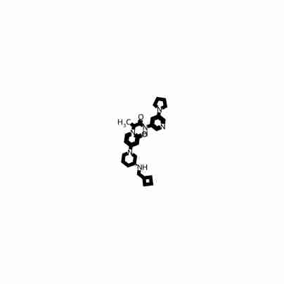 CC(C(=O)Nc1cncc(N2CCCC2)c1)n1ccc(N2CCC[C@@H](NCC3CCC3)C2)cc1=O